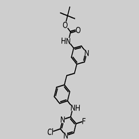 CC(C)(C)OC(=O)Nc1cncc(CCc2cccc(Nc3nc(Cl)ncc3F)c2)c1